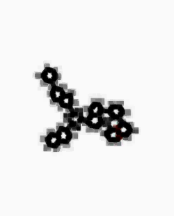 c1ccc(-c2ccc3cc(-c4nc(-c5ccc6ccccc6c5)nc(-c5ccc6c7c(cccc57)-c5cccc(-c7ccccc7)c5N6c5ccccc5)n4)ccc3c2)cc1